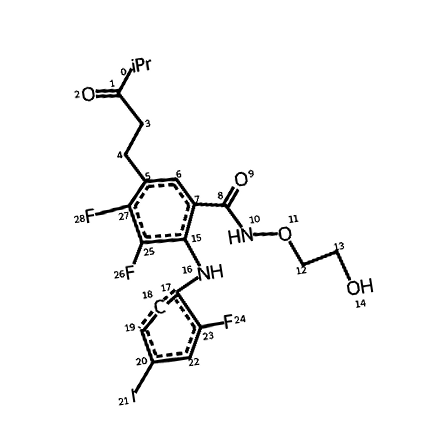 CC(C)C(=O)CCc1cc(C(=O)NOCCO)c(Nc2ccc(I)cc2F)c(F)c1F